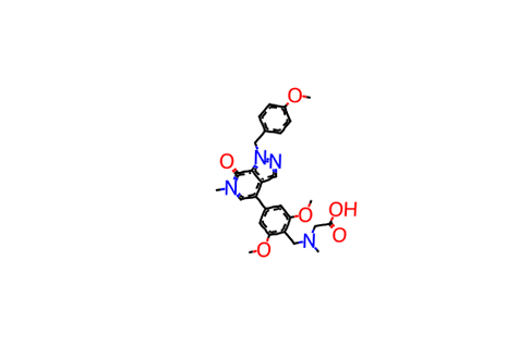 COc1ccc(Cn2ncc3c(-c4cc(OC)c(CN(C)CC(=O)O)c(OC)c4)cn(C)c(=O)c32)cc1